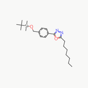 CCCCCCCc1nnc(-c2ccc(CO[Si](C)(C)C(C)(C)C)cc2)o1